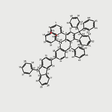 c1ccc(-c2cc3c(c4c2N(c2ccccc2)c2cc(-c5ccc6c(c5)c5ccccc5n6-c5ccccc5)ccc2P4c2ccccc2)-c2ccccc2C3(c2ccccc2)c2ccccc2)cc1